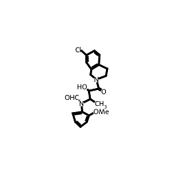 COc1ccccc1N(C=O)C(C)C(O)C(=O)N1CCc2ccc(Cl)cc2C1